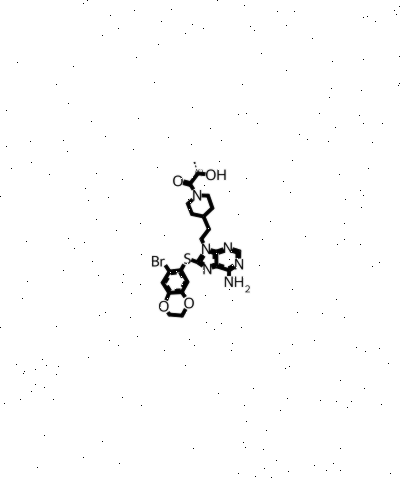 C[C@H](O)C(=O)N1CCC(CCn2c(Sc3cc4c(cc3Br)OCCO4)nc3c(N)ncnc32)CC1